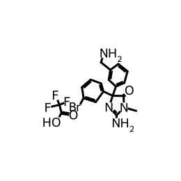 CN1C(=O)C(c2cccc(Br)c2)(c2cccc(CN)c2)N=C1N.O=C(O)C(F)(F)F